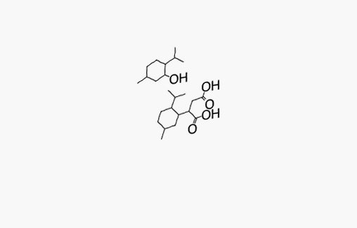 CC1CCC(C(C)C)C(C(CC(=O)O)C(=O)O)C1.CC1CCC(C(C)C)C(O)C1